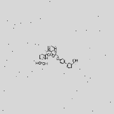 CC(C)[C@H](NC(=O)COc1ccc(-c2cccc([C@@H](C)O)c2)cc1)C(=O)N[C@@H](C)C(=O)N1CCC[C@@H](C(O)O)N1